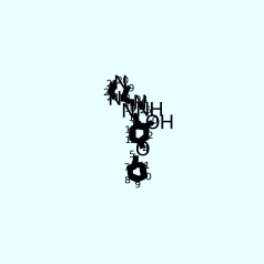 Oc1cc(OCc2ccccc2)ccc1-c1nc(-c2cnccn2)n[nH]1